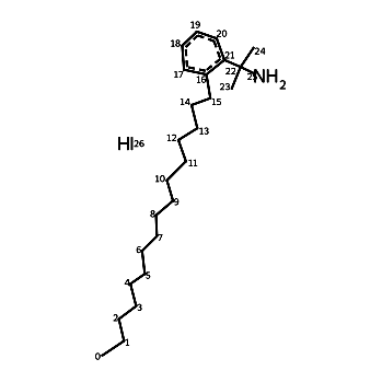 CCCCCCCCCCCCCCCCc1ccccc1C(C)(C)N.I